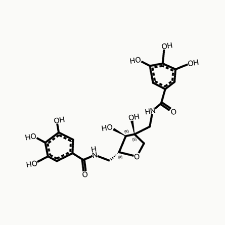 O=C(NC[C@H]1OC[C@@](O)(CNC(=O)c2cc(O)c(O)c(O)c2)[C@@H]1O)c1cc(O)c(O)c(O)c1